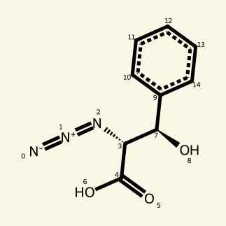 [N-]=[N+]=N[C@@H](C(=O)O)[C@H](O)c1ccccc1